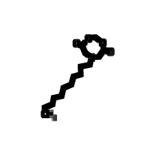 CCCCCCCCCCCN1CC(=O)OCOC(=O)C1